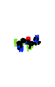 CC(C)[C@H]1CN(C)CCN1C(C)c1cc2c(c(C(F)(F)F)c1)CN(c1cccc(C3([C@@H](F)c4nncn4C)CC(F)(F)C3)c1)C2=O